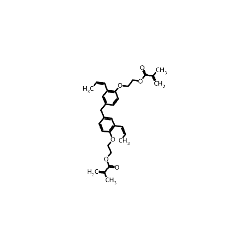 C=C(C)C(=O)OCCOc1ccc(Cc2ccc(OCCOC(=O)C(=C)C)c(/C=C\C)c2)cc1/C=C\C